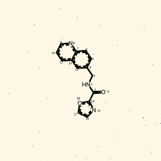 O=C(NCc1ccc2ncccc2c1)c1ncco1